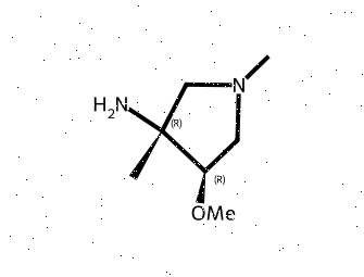 CO[C@@H]1CN(C)C[C@@]1(C)N